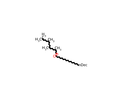 CCCCCCCCCCCCCCCCCCCCCCCCCC(=O)OCC=C(C)CCC=C(C)CCC=C(C)CCC=C(C)C